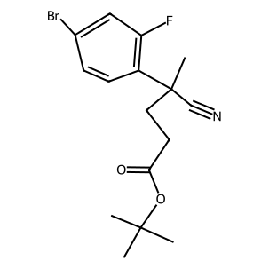 CC(C)(C)OC(=O)CCC(C)(C#N)c1ccc(Br)cc1F